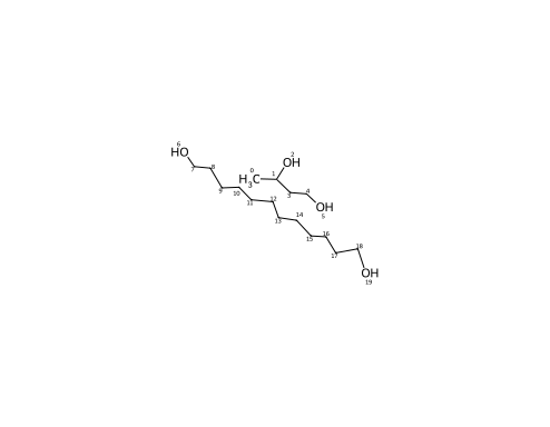 CC(O)CCO.OCCCCCCCCCCCCO